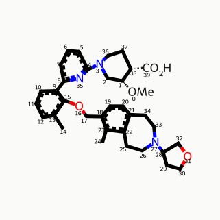 CO[C@@H]1CN(c2cccc(-c3cccc(C)c3OCc3ccc4c(c3C)CCN(C3CCOC3)CC4)n2)CC[C@@H]1C(=O)O